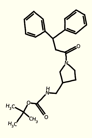 CC(C)(C)OC(=O)NCC1CCN(C(=O)CC(c2ccccc2)c2ccccc2)C1